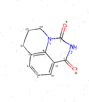 O=c1[nH]c(=O)n2c3c(cccc13)CCC2